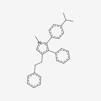 CC(C)c1ccc(-c2c(-c3ccccc3)c(CCc3ccccc3)cn2C)cc1